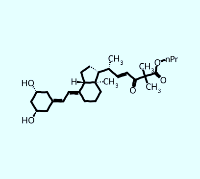 CCCOC(=O)C(C)(C)C(=O)/C=C/[C@@H](C)[C@H]1CC[C@H]2/C(=C/C=C3C[C@@H](O)C[C@H](O)C3)CCC[C@]12C